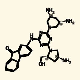 N[C@@H]1C[C@H](N)CN(c2nc(Nc3ccc4c(c3)C(=O)c3ccccc3-4)nc(N3C[C@H](N)C[C@@H]3CO)n2)C1